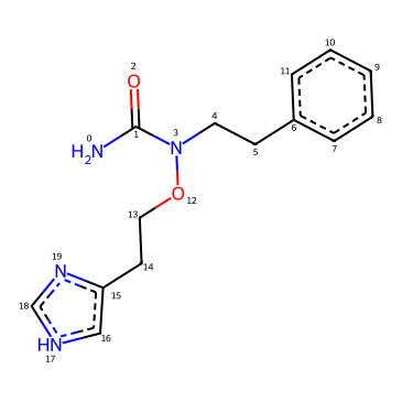 NC(=O)N(CCc1ccccc1)OCCc1c[nH]cn1